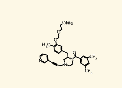 COCCOCOc1cc(C[C@@H]2CN(CC#Cc3cccnc3)CCN2C(=O)c2cc(C(F)(F)F)cc(C(F)(F)F)c2)ccc1C